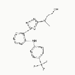 CN(CCO)c1nnc(-c2ccccc2Nc2ccc(C(F)(F)F)cc2)o1